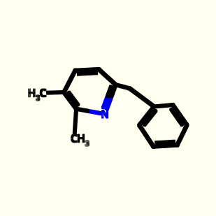 Cc1ccc(Cc2ccccc2)nc1C